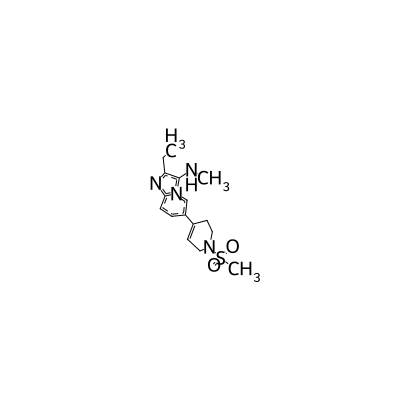 CCc1nc2ccc(C3=CCN(S(C)(=O)=O)CC3)cn2c1NC